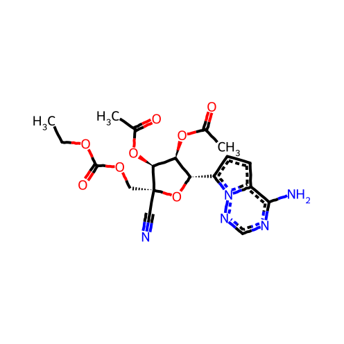 CCOC(=O)OC[C@@]1(C#N)O[C@@H](c2ccc3c(N)ncnn23)[C@H](OC(C)=O)[C@@H]1OC(C)=O